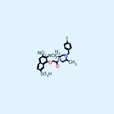 CC1CN(C(=O)COc2c([N+](=O)[O-])c([N+](=O)[O-])cc3ccc(S(=O)(=O)O)cc23)C(C)CN1Cc1ccc(F)cc1